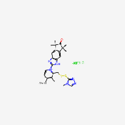 COc1cc[n+](-c2nc3cc4c(cc3[nH]2)C(C)(C)C(=O)C4(C)C)c(CSSc2nncn2C)c1C.Cl.Cl.[Cl-]